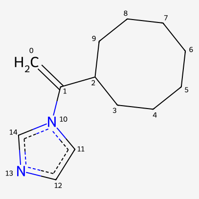 C=C(C1CCCCCCC1)n1ccnc1